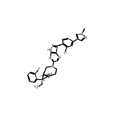 Cn1cc(-c2ccc(-c3n[nH]c4nc(N5CC[C@@H]6[C@H](C5)[C@@]6(CN)c5ccccc5F)cnc34)c(Cl)c2)cn1